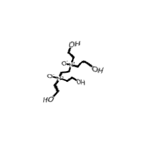 [O-][N+](CCO)(CCO)CC[N+]([O-])(CCO)CCO